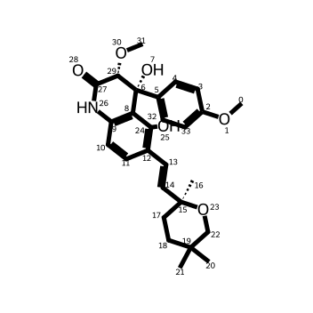 COc1ccc([C@@]2(O)c3c(ccc(/C=C/[C@]4(C)CCC(C)(C)CO4)c3O)NC(=O)[C@@H]2OC)cc1